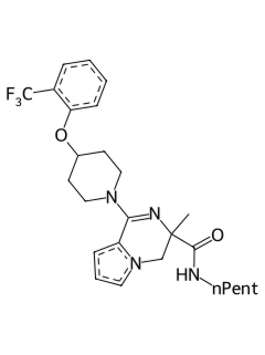 CCCCCNC(=O)C1(C)Cn2cccc2C(N2CCC(Oc3ccccc3C(F)(F)F)CC2)=N1